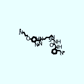 CN(C)CCCOc1ccc2c(NCCC3CN=C(NC(=O)Nc4ccccc4CN(C)C)S3)ncnc2c1